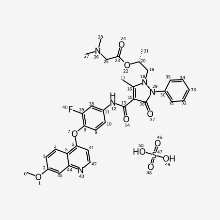 COc1ccc2c(Oc3ccc(NC(=O)c4c(C)n(C[C@@H](C)OC(=O)CN(C)C)n(-c5ccccc5)c4=O)cc3F)ccnc2c1.O=S(=O)(O)O